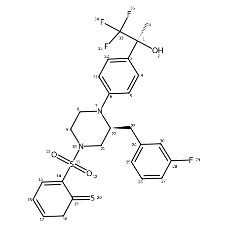 C[C@](O)(c1ccc(N2CCN(S(=O)(=O)C3=CC=CCC3=S)C[C@@H]2Cc2cccc(F)c2)cc1)C(F)(F)F